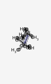 COCCc1ccc2c(c1)C(C)(CCCS(=O)(=O)O)C(/C=C/C=C/C=C/C=C1/N(CCOC)c3ccc(S(=O)(=O)O)cc3C1(C)CCCS(=O)(=O)O)=[N+]2CCCCCC(=O)O